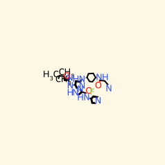 CC(C)(C)c1cc(Nc2cc(N[C@H]3CC[C@H](NC(=O)CC#N)CC3)nn3c(C(=O)Nc4ccncc4F)cnc23)no1